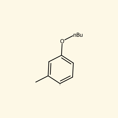 CCCCOc1cc[c]c(C)c1